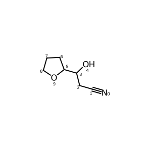 N#CCC(O)C1CCCO1